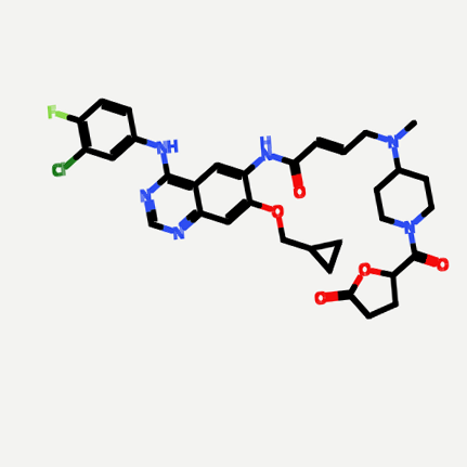 CN(CC=CC(=O)Nc1cc2c(Nc3ccc(F)c(Cl)c3)ncnc2cc1OCC1CC1)C1CCN(C(=O)C2CCC(=O)O2)CC1